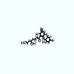 O=C(NOCC(O)CCO)c1cc(Br)ncc1Nc1ccc(I)cc1F